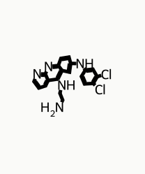 NCCNc1c2cc(Nc3ccc(Cl)c(Cl)c3)ccc2nc2ncccc12